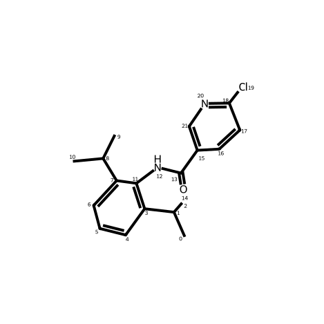 CC(C)c1cccc(C(C)C)c1NC(=O)c1ccc(Cl)nc1